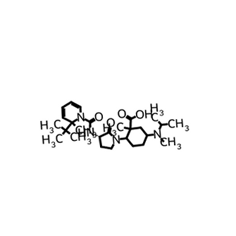 CC(C)N(C)C1CCC(N2CC[C@H](NC(=O)N3C=CC=CC3(C)C(C)(C)C)C2=O)C(C)(C(=O)O)C1